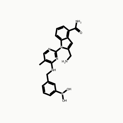 Cc1cnc(-n2c(CN)cc3c(C(N)=O)cccc32)nc1NCc1cccc(B(O)O)c1